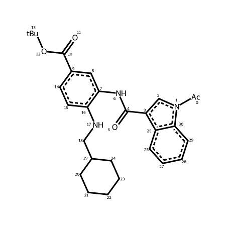 CC(=O)n1cc(C(=O)Nc2cc(C(=O)OC(C)(C)C)ccc2NCC2CCCCC2)c2ccccc21